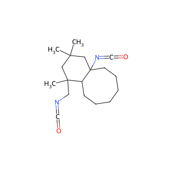 CC1(C)CC(C)(CN=C=O)C2CCCCCCC2(N=C=O)C1